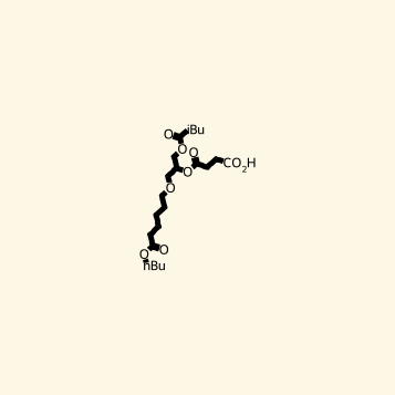 CCCCOC(=O)CCCCCOCC(COC(=O)C(C)CC)OC(=O)CCC(=O)O